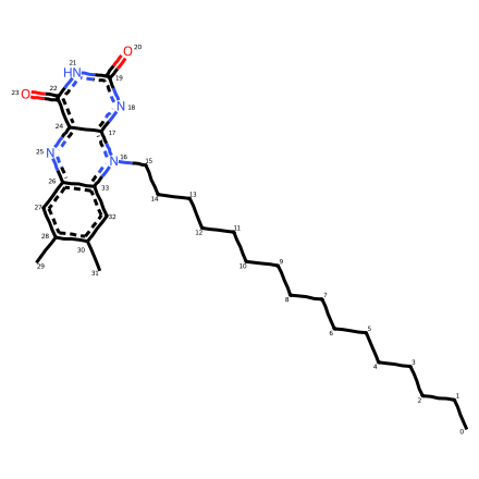 CCCCCCCCCCCCCCCCn1c2nc(=O)[nH]c(=O)c-2nc2cc(C)c(C)cc21